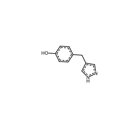 Oc1ccc(Cc2cn[nH]c2)cc1